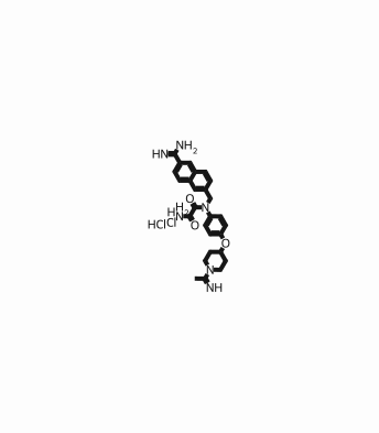 CC(=N)N1CCC(Oc2ccc(N(Cc3ccc4cc(C(=N)N)ccc4c3)C(=O)C(N)=O)cc2)CC1.Cl.Cl